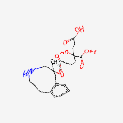 CC1(OC(=O)CC(O)(CC(=O)O)C(=O)O)CNCCc2ccccc21